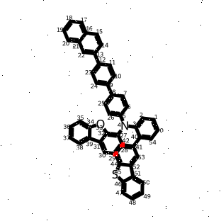 c1ccc(N(c2ccc(-c3ccc(-c4ccc5ccccc5c4)cc3)cc2)c2cccc3c2oc2ccccc23)c(-c2ccc3sc4ccccc4c3c2)c1